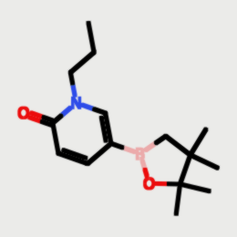 CCCn1cc(B2CC(C)(C)C(C)(C)O2)ccc1=O